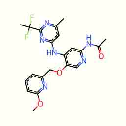 COc1cccc(COc2cnc(NC(C)=O)cc2Nc2cc(C)nc(C(C)(F)F)n2)n1